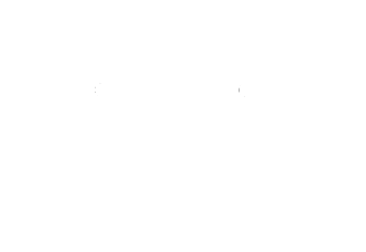 C1CCCC(C2CCCCC2)CC1